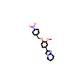 COc1cc(-c2cn3ccccc3n2)ccc1OCc1ccc([N+](=O)[O-])cc1